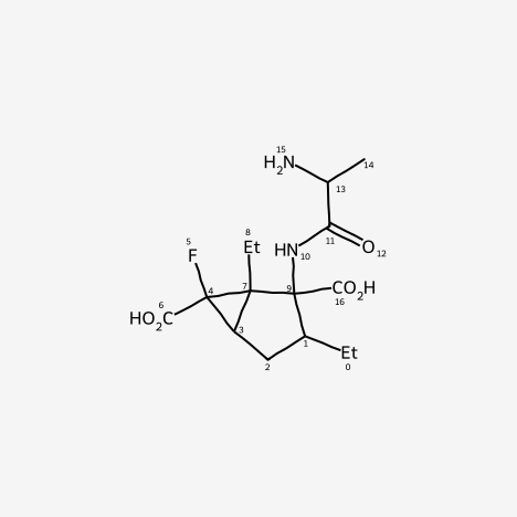 CCC1CC2C(F)(C(=O)O)C2(CC)C1(NC(=O)C(C)N)C(=O)O